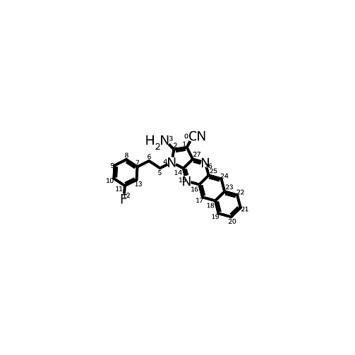 N#Cc1c(N)n(CCc2cccc(F)c2)c2nc3cc4ccccc4cc3nc12